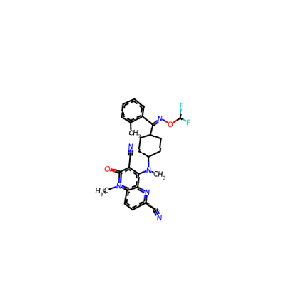 Cc1ccccc1/C(=N/OC(F)F)C1CCC(N(C)c2c(C#N)c(=O)n(C)c3ccc(C#N)nc23)CC1